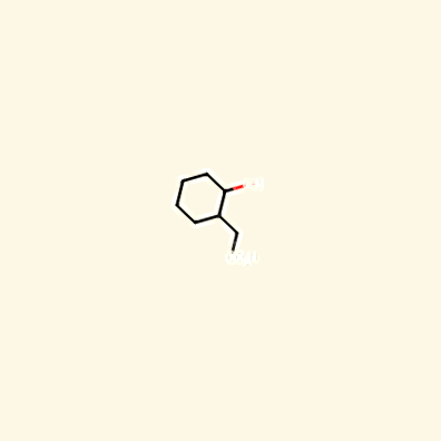 O=C(O)CC1CC[CH]CC1O